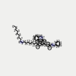 CCCCCCCC/C=C\CCCCCCCC(=O)OCC(COC(=O)/C=C/c1ccccc1)OC(=O)/C=C\c1ccccc1